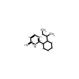 CCC(C)C1CCCCC1c1nccc(=O)[nH]1